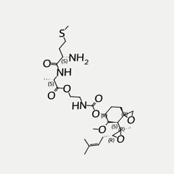 COC1[C@H](OC(=O)NCCOC(=O)[C@H](C)NC(=O)[C@@H](N)CCSC)CC[C@]2(CO2)[C@H]1[C@@]1(C)O[C@@H]1CC=C(C)C